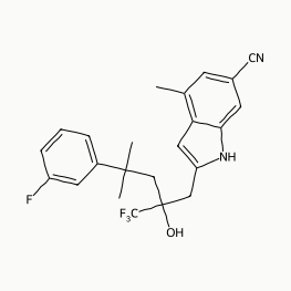 Cc1cc(C#N)cc2[nH]c(CC(O)(CC(C)(C)c3cccc(F)c3)C(F)(F)F)cc12